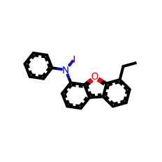 CCc1cccc2c1oc1c(N(I)c3ccccc3)cccc12